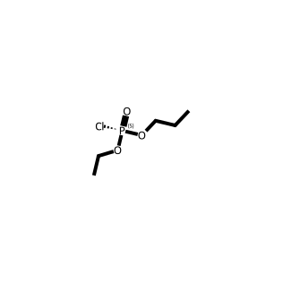 CCCO[P@@](=O)(Cl)OCC